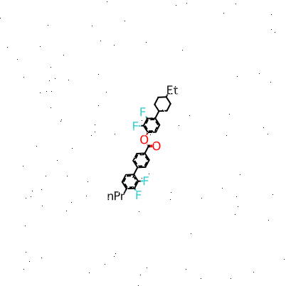 CCCc1ccc(-c2ccc(C(=O)Oc3ccc(C4CCC(CC)CC4)c(F)c3F)cc2)c(F)c1F